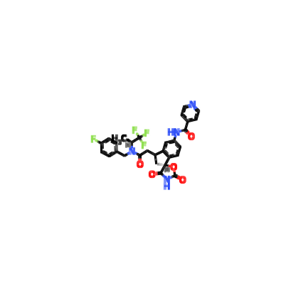 C[C@H](N(Cc1ccc(F)cc1)C(=O)CC1C[C@@]2(OC(=O)NC2=O)c2ccc(NC(=O)c3ccncc3)cc21)C(F)(F)F